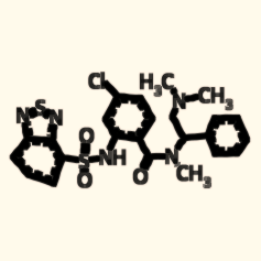 CN(C)CC(c1ccccc1)N(C)C(=O)c1ccc(Cl)cc1NS(=O)(=O)c1cccc2nsnc12